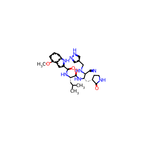 COc1cccc2[nH]c(C(=O)N[C@@H](CC(C)C)C(=O)N[C@@H](C[C@@H]3CCNC3=O)C(C#N)NCc3cn[nH]c3)cc12